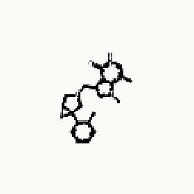 Cc1ccccc1C12CC1CN(Cc1cn(C)c3c(C)c[nH]c(=O)c13)C2